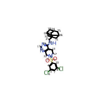 O=S(=O)(c1cc(Cl)cc(Cl)c1)N1CCc2c(ncnc2NCC23CC4CC(CC(C4)C2)C3)C1